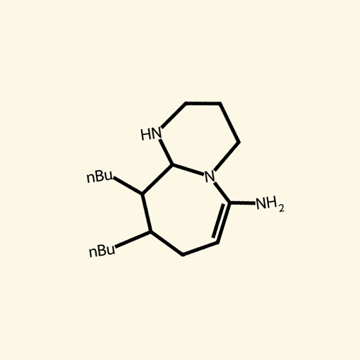 CCCCC1CC=C(N)N2CCCNC2C1CCCC